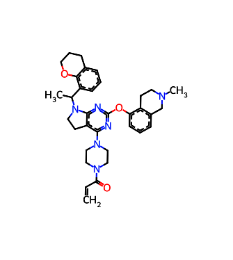 C=CC(=O)N1CCN(c2nc(Oc3cccc4c3CCN(C)C4)nc3c2CCN3C(C)c2cccc3c2OCCC3)CC1